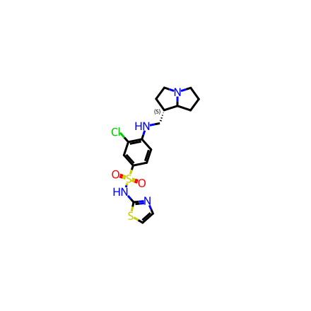 O=S(=O)(Nc1nccs1)c1ccc(NC[C@@H]2CCN3CCCC23)c(Cl)c1